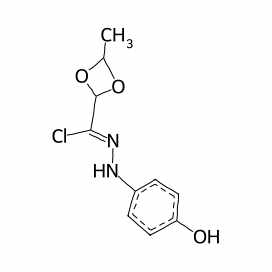 CC1OC(/C(Cl)=N/Nc2ccc(O)cc2)O1